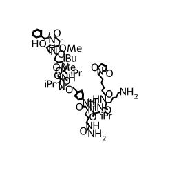 CC[C@H](C)[C@@H]([C@@H](CC(=O)N1CCC[C@H]1[C@H](OC)[C@@H](C)C(=O)N[C@H](C)[C@@H](O)c1ccccc1)OC)N(C)C(=O)[C@@H](NC(=O)[C@H](C(C)C)N(C)C(=O)OCc1ccc(NC(=O)[C@H](CCCNC(N)=O)NC(=O)[C@@H](NC(=O)[C@H](CCCCN)NC(=O)CCCCCN2C(=O)C=CC2=O)C(C)C)cc1)C(C)C